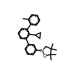 Cc1ccccc1-c1cccc(-c2cccc(N3CC(C)(C)C(C)(C)O3)c2)c1C1CC1